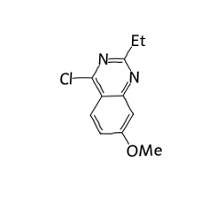 CCc1nc(Cl)c2ccc(OC)cc2n1